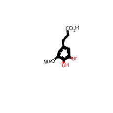 COc1cc(CCC(=O)O)cc(Br)c1O